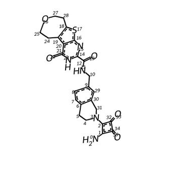 Nc1c(N2CCc3ccc(CNC(=O)c4nc5sc6c(c5c(=O)[nH]4)CCOCC6)cc3C2)c(=O)c1=O